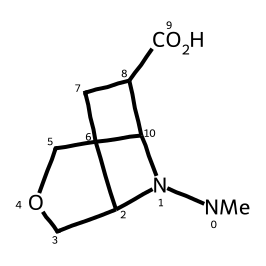 CNN1C2COCC23CC(C(=O)O)C13